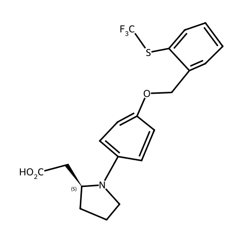 O=C(O)C[C@@H]1CCCN1c1ccc(OCc2ccccc2SC(F)(F)F)cc1